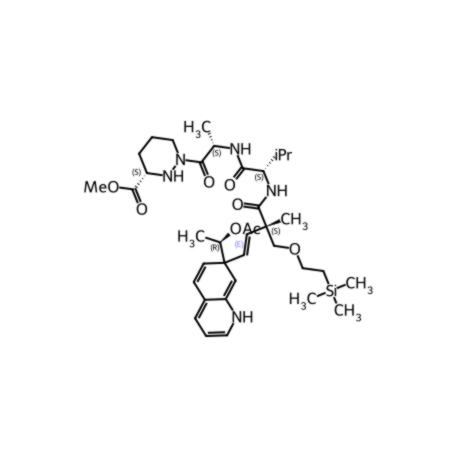 COC(=O)[C@@H]1CCCN(C(=O)[C@H](C)NC(=O)[C@@H](NC(=O)[C@@](C)(/C=C/C2([C@@H](C)OC(C)=O)C=CC3=CC=CNC3=C2)COCC[Si](C)(C)C)C(C)C)N1